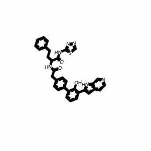 O=C(Cc1ccc(-c2cccc(-c3cc4ccncc4[nH]3)c2O)cc1)NC(CCc1ccccc1)C(=O)Nc1nncs1